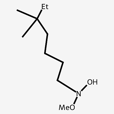 CCC(C)(C)CCCCN(O)OC